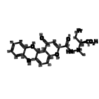 CC(C)C[C@@H](C(=O)O)N(C)NC(=O)c1cc(=O)c2c(Oc3ccccc3Br)cccc2o1